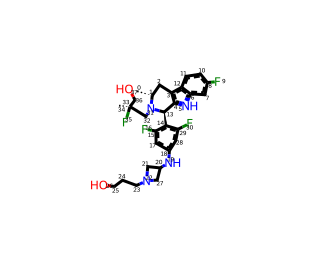 C[C@@H]1Cc2c([nH]c3cc(F)ccc23)[C@@H](c2c(F)cc(NC3CN(CCCO)C3)cc2F)N1C[C@@](C)(F)CO